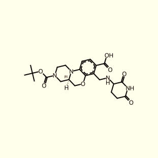 CC(C)(C)OC(=O)N1CCN2c3ccc(C(=O)O)c(CNC4CCC(=O)NC4=O)c3OC[C@H]2C1